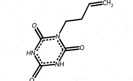 C=CCCn1c(=O)[nH]c(=O)[nH]c1=O